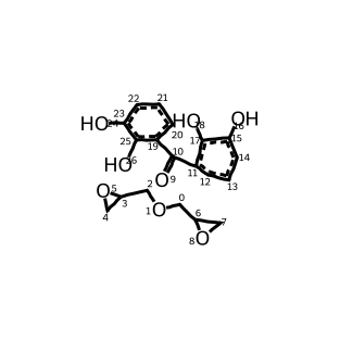 C(OCC1CO1)C1CO1.O=C(c1cccc(O)c1O)c1cccc(O)c1O